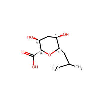 CC(C)C[C@@H]1O[C@H](C(=O)O)[C@@H](O)C[C@H]1O